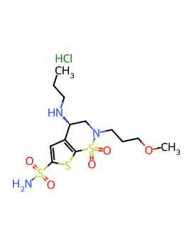 CCCN[C@H]1CN(CCCOC)S(=O)(=O)c2sc(S(N)(=O)=O)cc21.Cl